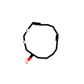 O=C1CCCC/C=C\CC/C=C/CCCC1